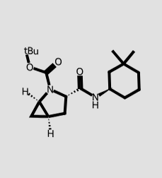 CC1(C)CCC[C@@H](NC(=O)[C@@H]2C[C@H]3C[C@H]3N2C(=O)OC(C)(C)C)C1